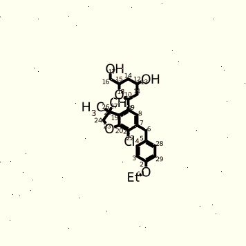 CCOc1ccc(Cc2cc(C3CC(O)CC(CO)O3)c3c(c2Cl)OCC3(C)C)cc1